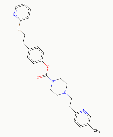 Cc1ccc(CCN2CCN(C(=O)Oc3ccc(CCSc4ccccn4)cc3)CC2)nc1